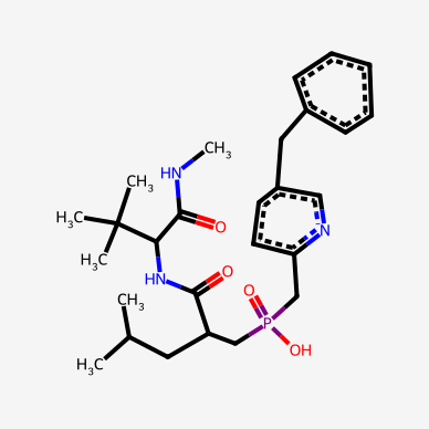 CNC(=O)C(NC(=O)C(CC(C)C)CP(=O)(O)Cc1ccc(Cc2ccccc2)cn1)C(C)(C)C